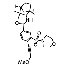 COCC#Cc1ccc(C(=O)NC2C(C)(C)[C@@H]3CC[C@@]2(C)C3)cc1S(=O)(=O)N1CCOCC1